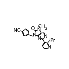 CC(C)c1ncccc1-c1ncc2c(n1)n(Cc1ccc(C#N)cc1)c(=O)n2C